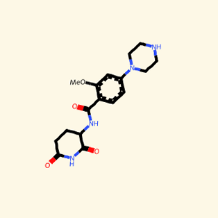 COc1cc(N2CCNCC2)ccc1C(=O)NC1CCC(=O)NC1=O